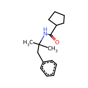 CC(C)(Cc1ccccc1)NC(=O)C1CCCC1